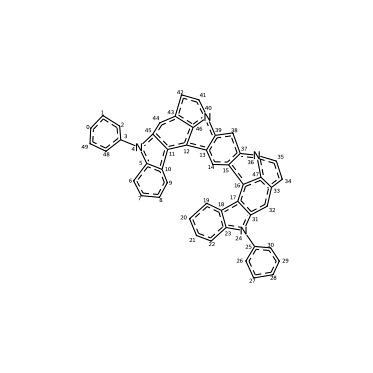 c1ccc(-n2c3ccccc3c3c4c5cc6c7c8c9ccccc9n(-c9ccccc9)c8cc8ccn(c6cc5n5ccc(cc32)c45)c87)cc1